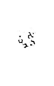 CC(=O)N1CC[C@H](n2cc(Nc3nccc(N4CC[C@@](C#N)(C(C)C)C4=O)n3)cn2)C1.Cl